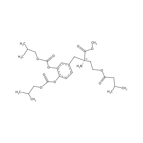 COC(=O)[C@@](N)(CCOC(=O)CC(C)C)Cc1ccc(OC(=O)OCC(C)C)c(OC(=O)OCC(C)C)c1